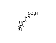 CCOCPCCCC(=O)O